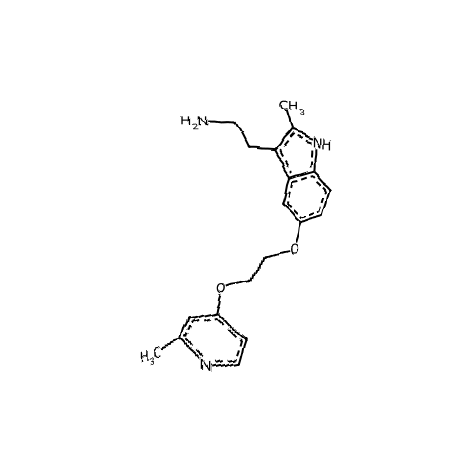 Cc1cc(OCCOc2ccc3[nH]c(C)c(CCN)c3c2)ccn1